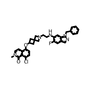 Cn1ccc2c(OC3CC4(C3)CN(CCNc3cc5c(cnn5Cc5ccccc5)cc3F)C4)ccc(Cl)c2c1=O